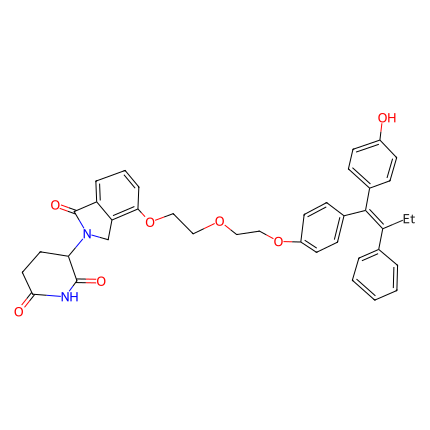 CC/C(=C(\c1ccc(O)cc1)c1ccc(OCCOCCOc2cccc3c2CN(C2CCC(=O)NC2=O)C3=O)cc1)c1ccccc1